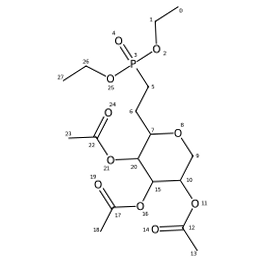 CCOP(=O)(CCC1OCC(OC(C)=O)C(OC(C)=O)C1OC(C)=O)OCC